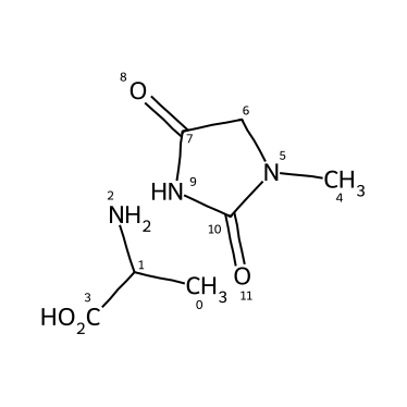 CC(N)C(=O)O.CN1CC(=O)NC1=O